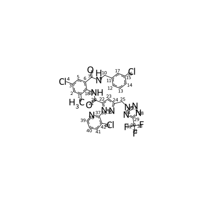 Cc1cc(Cl)cc(C(=O)NCc2cccc(Cl)c2)c1NC(=O)c1cc(Cn2nnc(C(F)(F)F)n2)nn1-c1ncccc1Cl